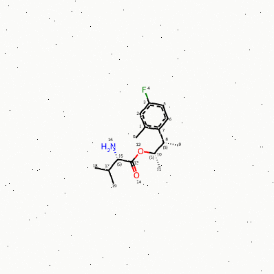 Cc1cc(F)ccc1[C@H](C)[C@H](C)OC(=O)[C@@H](N)C(C)C